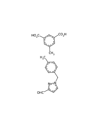 Cc1cc(C(=O)O)cc(C(=O)O)c1.Cc1ccc(Cn2ccc(C=O)n2)cc1